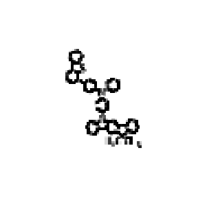 CC1(C)c2ccccc2-c2cc3c(cc21)c1ccccc1n3-c1ccc(N(c2ccccc2)c2ccc(-c3cccc4c3sc3ccccc34)cc2)cc1